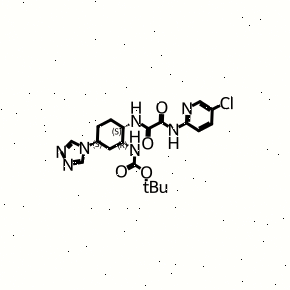 CC(C)(C)OC(=O)N[C@@H]1C[C@@H](n2cnnc2)CC[C@@H]1NC(=O)C(=O)Nc1ccc(Cl)cn1